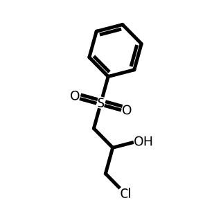 O=S(=O)(CC(O)CCl)c1ccccc1